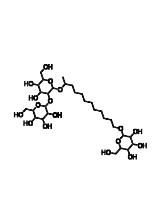 CC(CCCCCCCCCCOC1OC(CO)C(O)C(O)C1O)OC1OC(CO)C(O)C(O)C1OC1OC(CO)C(O)C(O)C1O